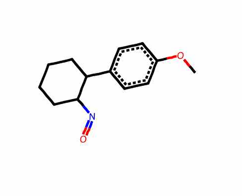 COc1ccc(C2CCCCC2N=O)cc1